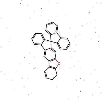 C1=Cc2c(oc3cc4c(cc23)-c2ccccc2C42c3ccccc3-c3ccccc32)CC1